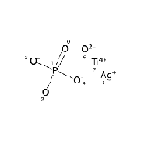 O=P([O-])([O-])[O-].[Ag+].[O-2].[Ti+4]